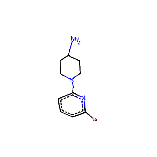 NC1CCN(c2cccc(Br)n2)CC1